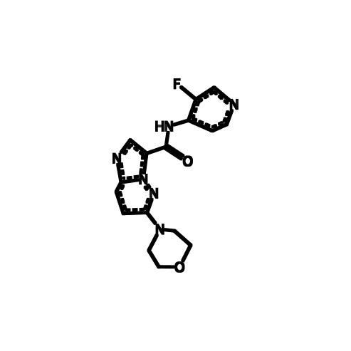 O=C(Nc1ccncc1F)c1cnc2ccc(N3CCOCC3)nn12